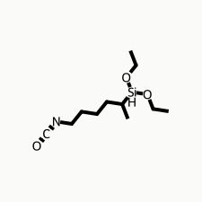 CCO[SiH](OCC)C(C)CCCCN=C=O